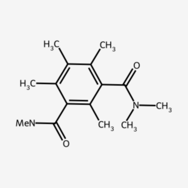 CNC(=O)c1c(C)c(C)c(C)c(C(=O)N(C)C)c1C